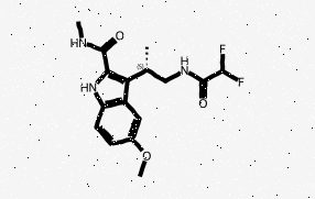 CNC(=O)c1[nH]c2ccc(OC)cc2c1[C@H](C)CNC(=O)C(F)F